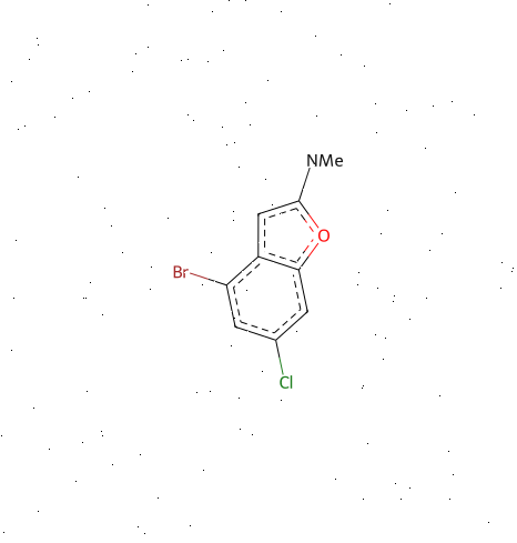 CNc1cc2c(Br)cc(Cl)cc2o1